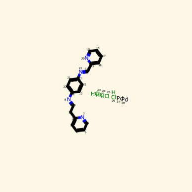 C(Cc1ccccn1)=Nc1ccc(N=Cc2ccccn2)cc1.Cl.Cl.Cl.Cl.[Pd].[Pd]